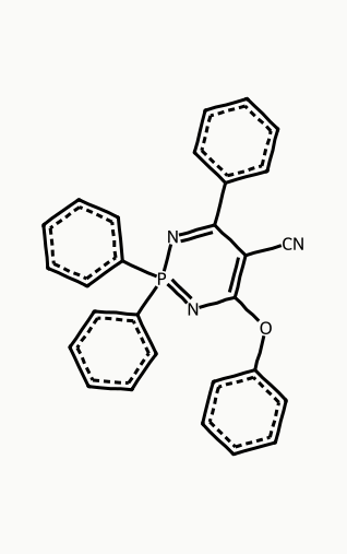 N#CC1=C(Oc2ccccc2)N=P(c2ccccc2)(c2ccccc2)N=C1c1ccccc1